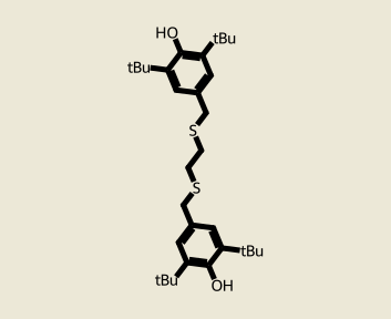 CC(C)(C)c1cc(CSCCSCc2cc(C(C)(C)C)c(O)c(C(C)(C)C)c2)cc(C(C)(C)C)c1O